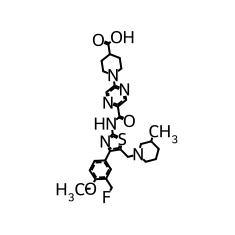 COc1ccc(-c2nc(NC(=O)c3cnc(N4CCC(C(=O)O)CC4)cn3)sc2CN2CCCC(C)C2)cc1CF